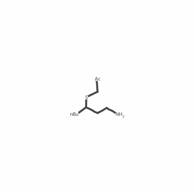 CCCCC(CCN)SCC(C)=O